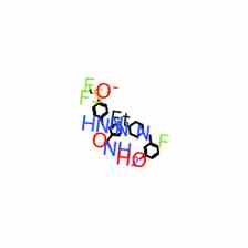 CCC1(n2cc(C(N)=O)c(Nc3ccc([S+]([O-])C(F)F)cc3)n2)CCN(Cc2cc(O)ccc2F)CC1